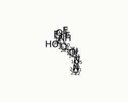 O=C(N[C@H](CF)[C@@H](O)c1ccc(-c2ccc(CN3CC(N4CCCC4)C3)nc2)cc1)C(F)F